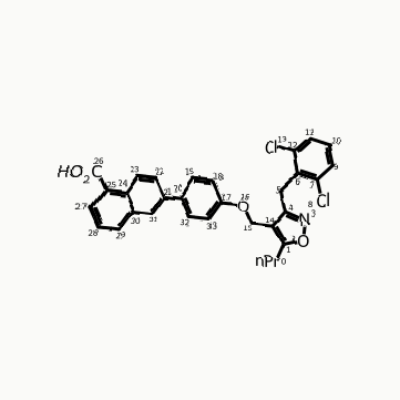 CCCc1onc(Cc2c(Cl)cccc2Cl)c1COc1ccc(-c2ccc3c(C(=O)O)cccc3c2)cc1